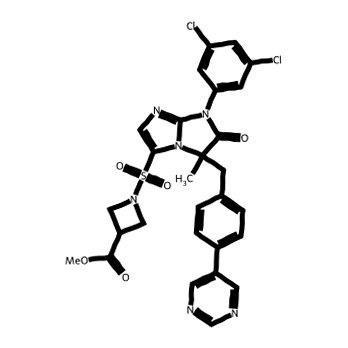 COC(=O)C1CN(S(=O)(=O)c2cnc3n2C(C)(Cc2ccc(-c4cncnc4)cc2)C(=O)N3c2cc(Cl)cc(Cl)c2)C1